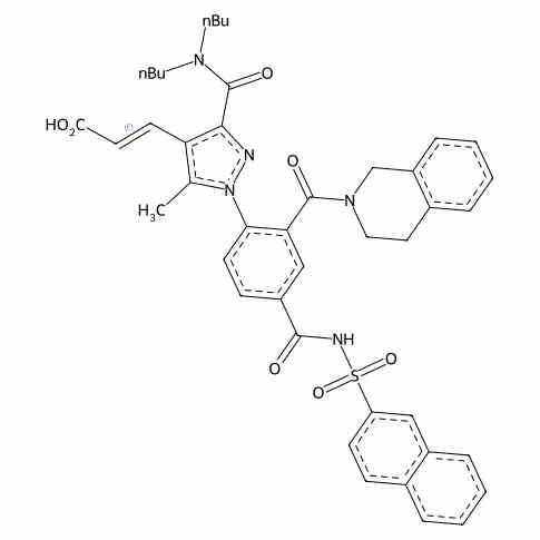 CCCCN(CCCC)C(=O)c1nn(-c2ccc(C(=O)NS(=O)(=O)c3ccc4ccccc4c3)cc2C(=O)N2CCc3ccccc3C2)c(C)c1/C=C/C(=O)O